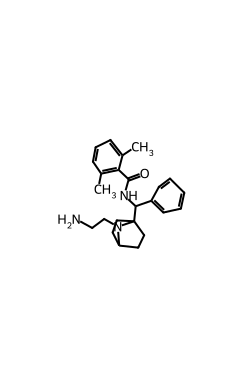 Cc1cccc(C)c1C(=O)NC(c1ccccc1)C12CCC(CC1)N2CCN